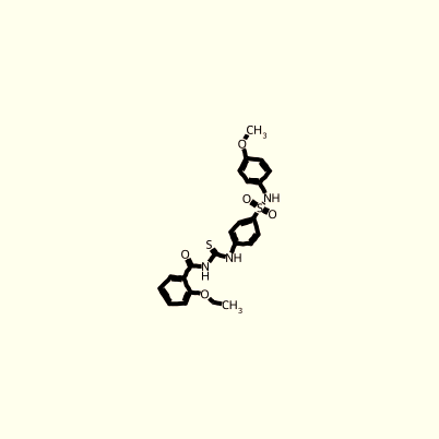 CCOc1ccccc1C(=O)NC(=S)Nc1ccc(S(=O)(=O)Nc2ccc(OC)cc2)cc1